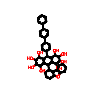 Oc1c(O)c(O)c2c(-c3cccc4oc5ccccc5c34)c3c(O)c(O)c(O)c(O)c3c(-c3ccc(-c4ccc(-c5ccccc5)cc4)cc3)c2c1O